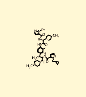 CC(C)n1nccc1C(=O)N[C@H](C(=O)Nc1ccc([C@H](C)[C@@H](NC(=O)c2ccnn2CC2CC2)C(=O)N2CCN(C)CC2)cc1F)[C@H]1CC[C@H](C)CC1